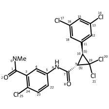 CNC(=O)c1cc(NC(=O)[C@@H]2[C@@H](c3cc(Cl)cc(Cl)c3)C2(Cl)Cl)ccc1Cl